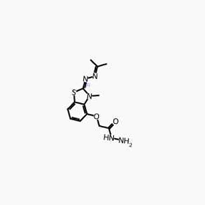 CC(C)=N/N=c1/sc2cccc(OCC(=O)NN)c2n1C